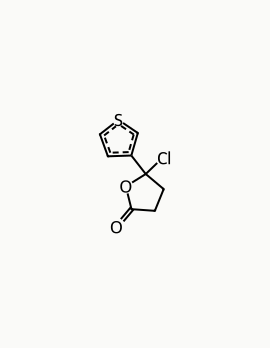 O=C1CCC(Cl)(c2ccsc2)O1